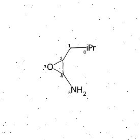 CC(C)CC1OC1N